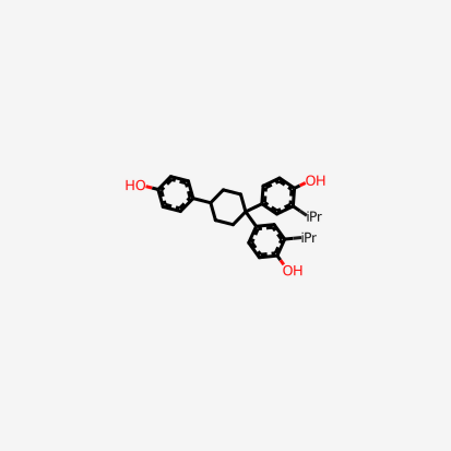 CC(C)c1cc(C2(c3ccc(O)c(C(C)C)c3)CCC(c3ccc(O)cc3)CC2)ccc1O